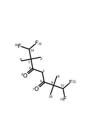 CC(C)(C(=O)CC(=O)C(C)(C)C(F)F)C(F)F